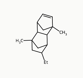 CCC1CC2(C)CC1C1C2C2C=CC1(C)C2